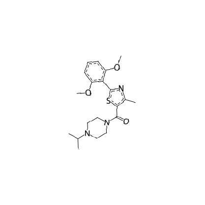 COc1cccc(OC)c1-c1nc(C)c(C(=O)N2CCN(C(C)C)CC2)s1